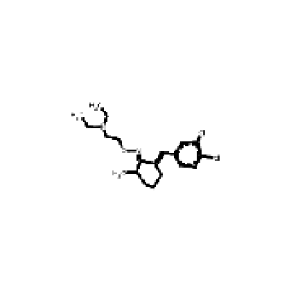 CCN(CC)CCO/N=C1/C(=C/c2ccc(Cl)c(Cl)c2)CCCC1C